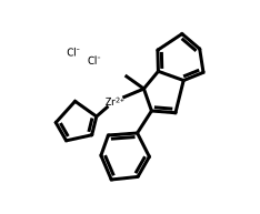 C[C]1([Zr+2][C]2=CC=CC2)C(c2ccccc2)=Cc2ccccc21.[Cl-].[Cl-]